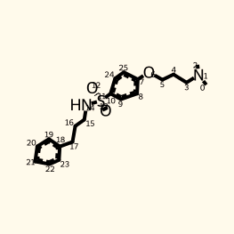 CN(C)CCCOc1ccc(S(=O)(=O)NCCCc2ccccc2)cc1